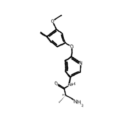 COc1cc(Oc2ccc(NC(=O)[C@@H](C)N)cn2)ccc1C